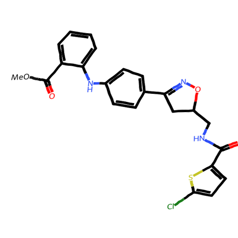 COC(=O)c1ccccc1Nc1ccc(C2=NOC(CNC(=O)c3ccc(Cl)s3)C2)cc1